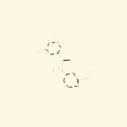 CC(C)c1cccc(NC(=O)c2cncc(Br)c2)c1